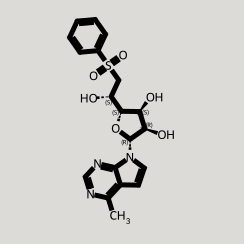 Cc1ncnc2c1ccn2[C@@H]1O[C@H]([C@H](O)CS(=O)(=O)c2ccccc2)[C@@H](O)[C@H]1O